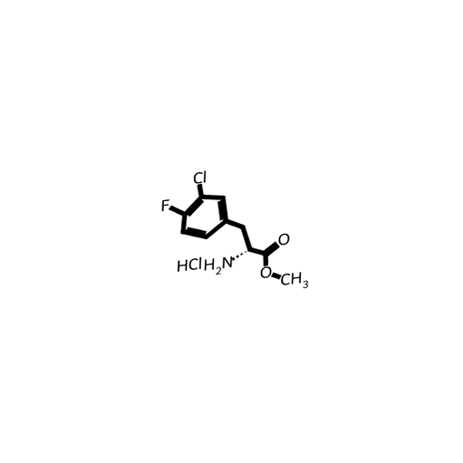 COC(=O)[C@H](N)Cc1ccc(F)c(Cl)c1.Cl